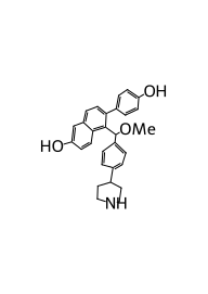 COC(c1ccc(C2CCNCC2)cc1)c1c(-c2ccc(O)cc2)ccc2cc(O)ccc12